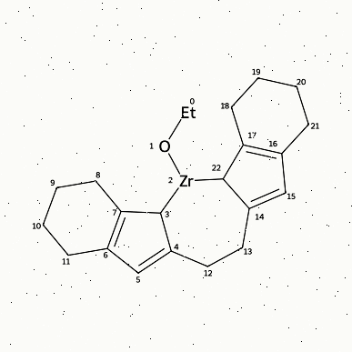 CC[O][Zr]1[CH]2C(=CC3=C2CCCC3)CCC2=CC3=C(CCCC3)[CH]21